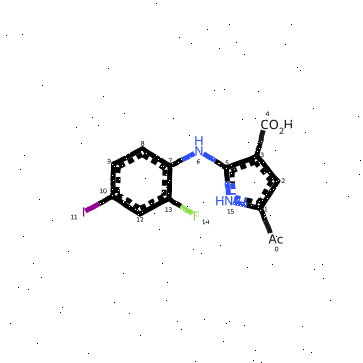 CC(=O)c1cc(C(=O)O)c(Nc2ccc(I)cc2F)[nH]1